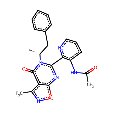 C[C@H](Cc1ccccc1)n1c(-c2ncccc2NC(=O)C(F)(F)F)nc2onc(C(F)(F)F)c2c1=O